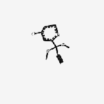 C#CC(OC)(OC)c1cc(Cl)ccn1